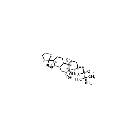 CC(C)(C)[Si](C)(C)O[C@H]1CC[C@]2(C)C3CC[C@@]4(C)C(CCC45OCCO5)C3C[C@H](O)[C@@]2(O)C1